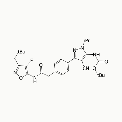 CC(C)n1nc(-c2ccc(CC(=O)Nc3onc(CC(C)(C)C)c3F)cc2)c(C#N)c1NC(=O)OC(C)(C)C